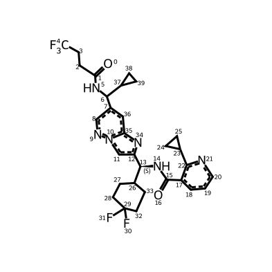 O=C(CCC(F)(F)F)NC(c1cnn2cc([C@@H](NC(=O)c3cccnc3C3CC3)C3CCC(F)(F)CC3)nc2c1)C1CC1